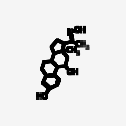 C/C(=N\O)C1CCC2C3CCc4cc(O)ccc4C3C(O)CC12C